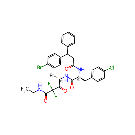 CC(C)[C@H](NC(=O)[C@H](Cc1ccc(Cl)cc1)NC(=O)CC(c1ccccc1)c1ccc(Br)cc1)C(=O)C(F)(F)C(=O)NCC(F)(F)F